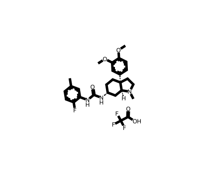 COc1ccc([C@@]23CC[C@@H](NC(=O)Nc4cc(C)ccc4F)C[C@@H]2N(C)CC3)cc1OC.O=C(O)C(F)(F)F